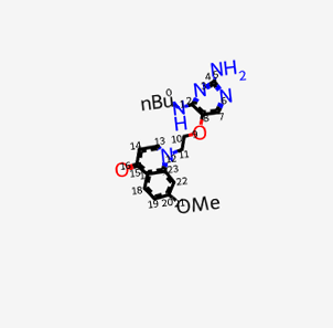 CCCCNc1nc(N)ncc1OCCn1ccc(=O)c2ccc(OC)cc21